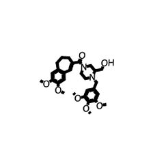 COc1cc2c(cc1OC)CCCC(C(=O)N1CCN(Cc3cc(OC)c(OC)c(OC)c3)C(CO)C1)=C2